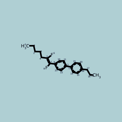 CCCCCC(F)=C(F)c1ccc(-c2ccc(CCC)cc2)cc1